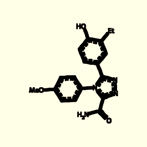 CCc1cc(-c2nnc(C(N)=O)n2-c2ccc(OC)cc2)ccc1O